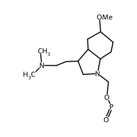 COC1CCC2C(C1)C(CCN(C)C)CN2COP=O